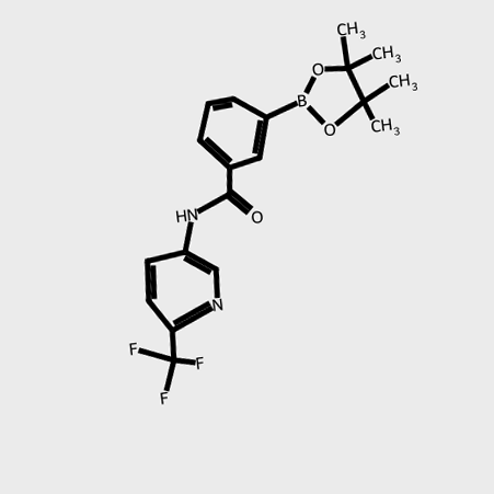 CC1(C)OB(c2cccc(C(=O)Nc3ccc(C(F)(F)F)nc3)c2)OC1(C)C